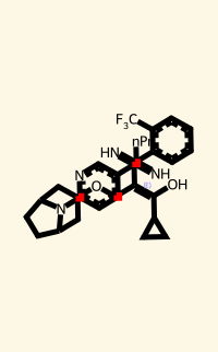 CCCC(=N)c1ccc(N2C3CCC2CC(OC/C(C(=N)c2ccccc2C(F)(F)F)=C(/O)C2CC2)C3)nc1